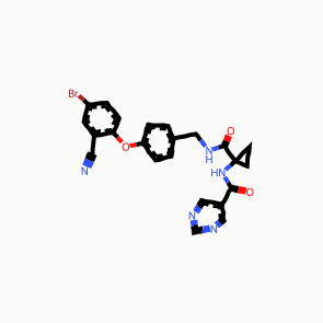 N#Cc1cc(Br)ccc1Oc1ccc(CNC(=O)C2(NC(=O)c3cncnc3)CC2)cc1